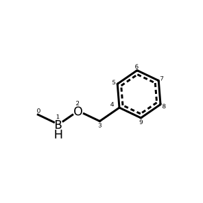 CBOCc1ccccc1